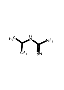 C[C](C)NC(=N)N